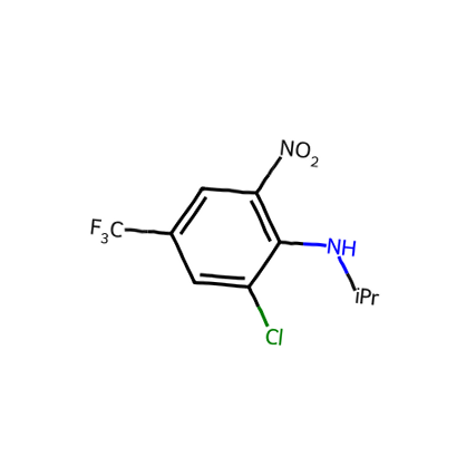 CC(C)Nc1c(Cl)cc(C(F)(F)F)cc1[N+](=O)[O-]